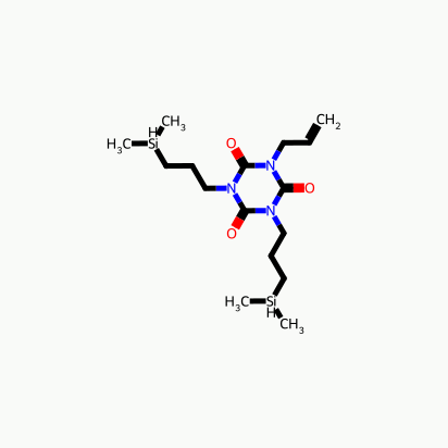 C=CCn1c(=O)n(CCC[SiH](C)C)c(=O)n(CCC[SiH](C)C)c1=O